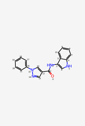 O=C(Nc1c[nH]c2ccccc12)c1cnn(-c2ccccc2)c1